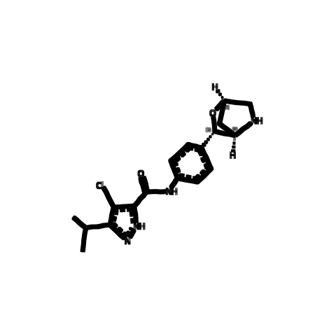 CC(C)c1n[nH]c(C(=O)Nc2ccc([C@@H]3O[C@H]4CN[C@@H]3C4)cc2)c1Cl